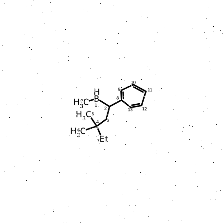 CBC(CC(C)(C)CC)c1ccccc1